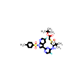 Cc1ccc(S(=O)(=O)n2cc(-c3ncc(F)c(N[C@@H](C[S+]([O-])CC(=O)OC(C)(C)C)C(C)(C)C)n3)c3cc(F)cnc32)cc1